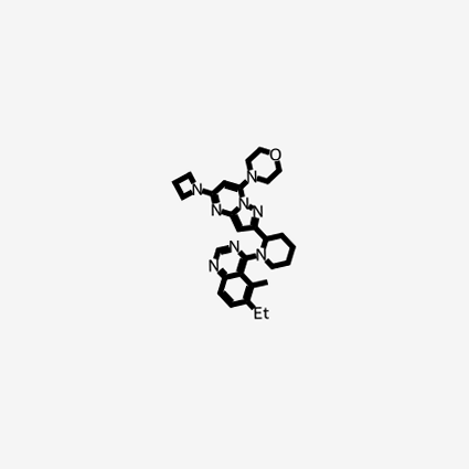 CCc1ccc2ncnc(N3CCCCC3c3cc4nc(N5CCC5)cc(N5CCOCC5)n4n3)c2c1C